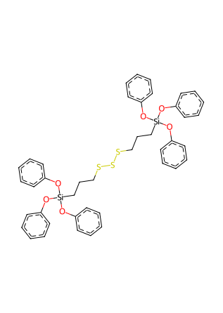 c1ccc(O[Si](CCCSSSCCC[Si](Oc2ccccc2)(Oc2ccccc2)Oc2ccccc2)(Oc2ccccc2)Oc2ccccc2)cc1